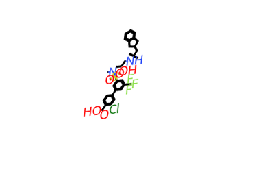 CN(CC(O)CNC(C)(C)CC1Cc2ccccc2C1)S(=O)(=O)c1cc(-c2ccc(C(=O)O)c(Cl)c2)cc(C(F)(F)F)c1